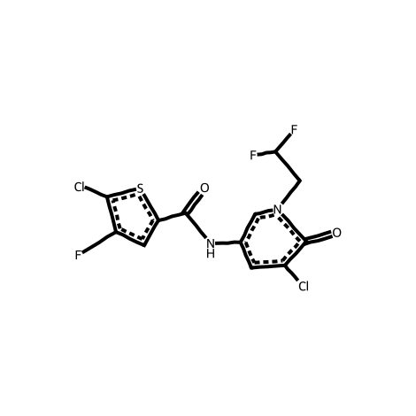 O=C(Nc1cc(Cl)c(=O)n(CC(F)F)c1)c1cc(F)c(Cl)s1